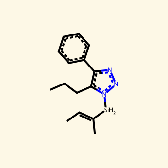 CC=C(C)[SiH2]n1nnc(-c2ccccc2)c1CCC